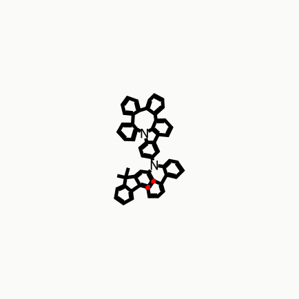 CC1(C)c2ccccc2-c2ccc(N(c3ccc4c(c3)c3cccc5c6ccccc6c6ccccc6c6ccccc6n4c53)c3ccccc3-c3ccccc3)cc21